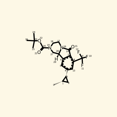 C[C@H]1C[C@H]1c1cc2c(c(C(F)(F)F)c1)C(=O)N1CCN(C(=O)OC(C)(C)C)C[C@@H]21